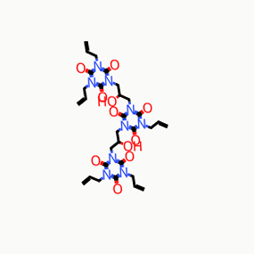 C=CCn1c(=O)n(CC=C)c(=O)n(CC(O)Cn2c(=O)n(CC=C)c(=O)n(CC(O)Cn3c(=O)n(CC=C)c(=O)n(CC=C)c3=O)c2=O)c1=O